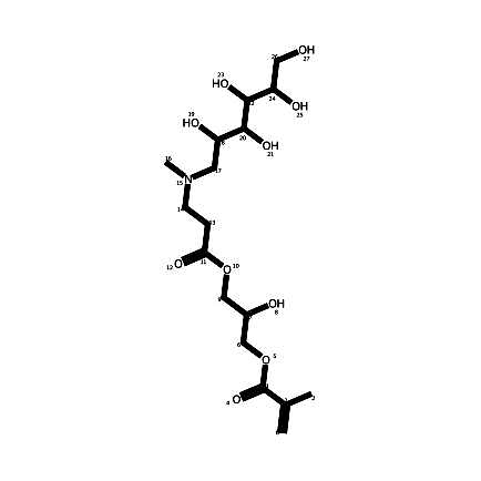 C=C(C)C(=O)OCC(O)COC(=O)CCN(C)CC(O)C(O)C(O)C(O)CO